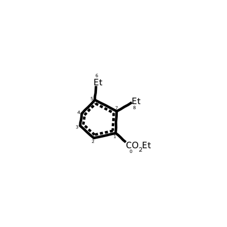 CCOC(=O)c1cccc(CC)c1CC